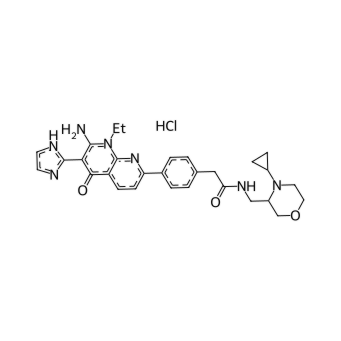 CCn1c(N)c(-c2ncc[nH]2)c(=O)c2ccc(-c3ccc(CC(=O)NCC4COCCN4C4CC4)cc3)nc21.Cl